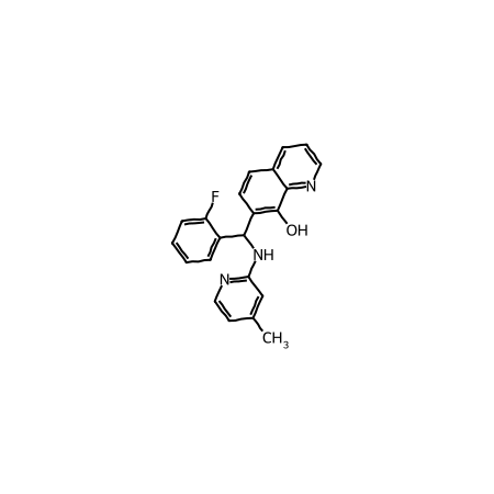 Cc1ccnc(NC(c2ccccc2F)c2ccc3cccnc3c2O)c1